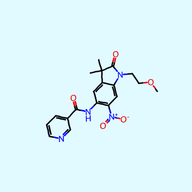 COCCN1C(=O)C(C)(C)c2cc(NC(=O)c3cccnc3)c([N+](=O)[O-])cc21